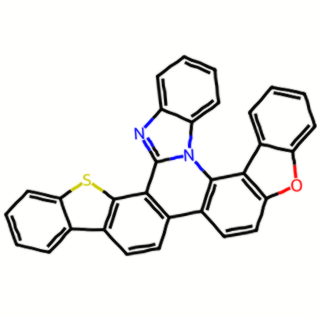 c1ccc2c(c1)nc1c3c(ccc4c5ccccc5sc43)c3ccc4oc5ccccc5c4c3n21